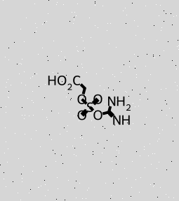 N=C(N)OS(=O)(=O)OCC(=O)O